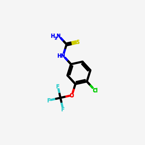 NC(=S)Nc1ccc(Cl)c(OC(F)(F)F)c1